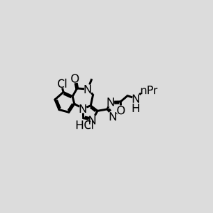 CCCNCc1nc(-c2ncn3c2CN(C)C(=O)c2c(Cl)cccc2-3)no1.Cl